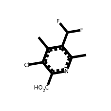 Cc1nc(C(=O)O)c(Cl)c(C)c1C(F)F